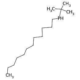 CCCCCCCCCCCCPC(C)(C)C